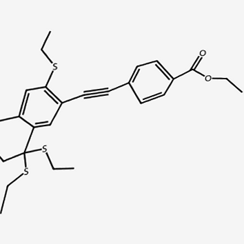 CCOC(=O)c1ccc(C#Cc2cc3c(cc2SCC)OCCC3(SCC)SCC)cc1